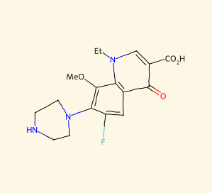 CCn1cc(C(=O)O)c(=O)c2cc(F)c(N3CCNCC3)c(OC)c21